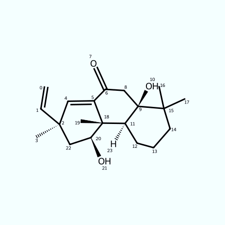 C=C[C@@]1(C)C=C2C(=O)C[C@@]3(O)[C@@H](CCCC3(C)C)[C@]2(C)[C@@H](O)C1